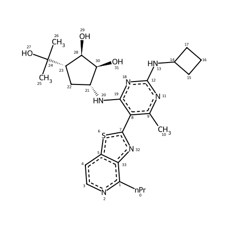 CCCc1nccc2sc(-c3c(C)nc(NC4CCC4)nc3N[C@@H]3C[C@H](C(C)(C)O)[C@@H](O)[C@H]3O)nc12